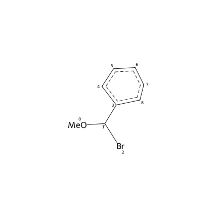 CO[C](Br)c1ccccc1